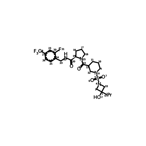 CC(C)C1(O)CN(S(=O)(=O)N2CCCC(C(=O)N3CCC[C@@H]3C(=O)NCc3ccc(C(F)(F)F)cc3F)C2)C1